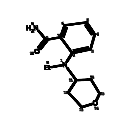 CCN(c1ccccc1C(N)=O)C1CCOCC1